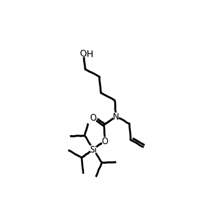 C=CCN(CCCCO)C(=O)O[Si](C(C)C)(C(C)C)C(C)C